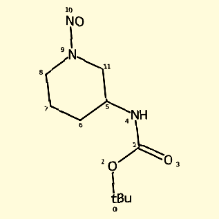 CC(C)(C)OC(=O)NC1CCCN(N=O)C1